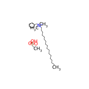 CCCCCCCCCCCCCCCCCC[N+](C)(C)Cc1ccccc1.CCS(=O)(=O)O